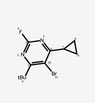 CC(C)(C)c1nc(F)nc(C2CC2)c1Br